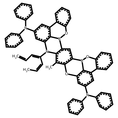 C=C/C=C(\C=C/C)N1c2cc(N(c3ccccc3)c3ccccc3)cc3c2B(Oc2ccccc2-3)c2cc3c(c(C)c21)Oc1cc(N(c2ccccc2)c2ccccc2)cc2c1B3Oc1ccccc1-2